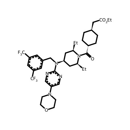 CCOC(=O)C[C@H]1CC[C@H](C(=O)N2[C@H](CC)C[C@H](N(Cc3cc(C(F)(F)F)cc(C(F)(F)F)c3)c3ncc(N4CCOCC4)cn3)C[C@@H]2CC)CC1